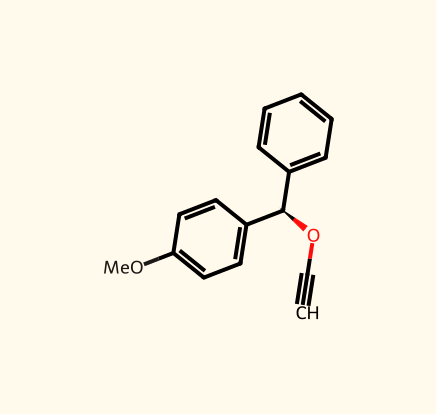 C#CO[C@H](c1ccccc1)c1ccc(OC)cc1